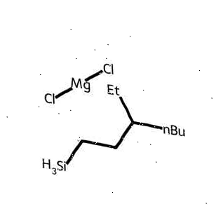 CCCCC(CC)C[CH][SiH3].[Cl][Mg][Cl]